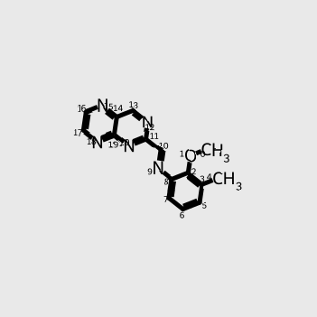 COc1c(C)cccc1N=Cc1ncc2nccnc2n1